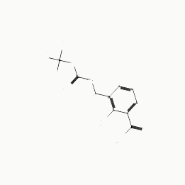 CC(C)(C)OC(=O)NCc1cccc(C(=O)O)c1O